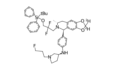 [2H]C1([2H])Oc2cc3c(cc2O1)[C@@H](c1ccc(N[C@H]2CCN(CCCF)C2)cc1)N(CC(F)(F)CO[Si](c1ccccc1)(c1ccccc1)C(C)(C)C)[C@H](C)C3